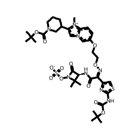 C[n+]1c(C2CCCN(C(=O)OC(C)(C)C)C2)cn2cc(OCCO/N=C(\C(=O)N[C@@H]3C(=O)N(OS(=O)(=O)[O-])C3(C)C)c3csc(NC(=O)OC(C)(C)C)n3)ccc21